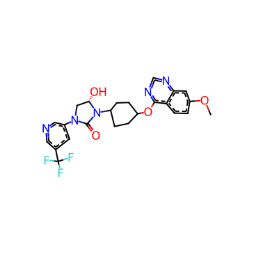 COc1ccc2c(OC3CCC(N4C(=O)N(c5cncc(C(F)(F)F)c5)C[C@@H]4O)CC3)ncnc2c1